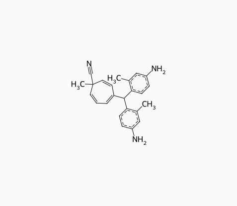 Cc1cc(N)ccc1C(C1=CC=CC(C)(C#N)C=C1)c1ccc(N)cc1C